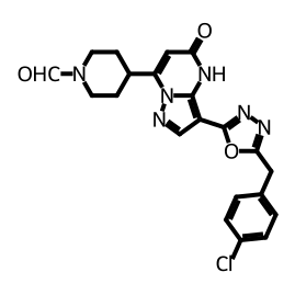 O=CN1CCC(c2cc(=O)[nH]c3c(-c4nnc(Cc5ccc(Cl)cc5)o4)cnn23)CC1